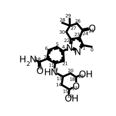 Cc1nn(-c2ccc(C(N)=O)c(NC3CC(O)OC(O)C3)c2)c2c1C(=O)CC(C)(C)C2